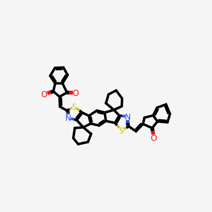 O=C1/C(=C/c2nc3c(s2)-c2cc4c(cc2C32CCCCC2)-c2sc(C=C3C(=O)c5ccccc5C3=O)nc2C42CCCCC2)Cc2ccccc21